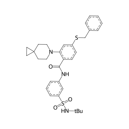 CC(C)(C)NS(=O)(=O)c1cccc(NC(=O)c2ccc(SCc3ccccc3)cc2N2CCC3(CC2)CC3)c1